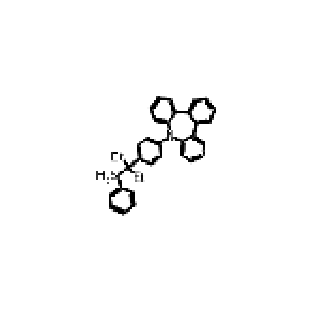 CCC(CC)([SiH2]c1ccccc1)c1ccc(N2c3ccccc3-c3ccccc3-c3ccccc32)cc1